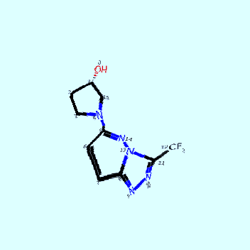 O[C@H]1CCN(c2ccc3nnc(C(F)(F)F)n3n2)C1